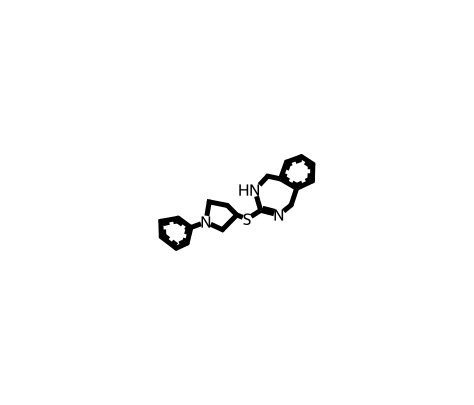 c1ccc(N2CCC(SC3=NCc4ccccc4CN3)C2)cc1